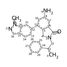 C=C(CN1Cc2c(cc(N)cc2-c2ccc3cnn(C)c3c2)C1=O)c1ccccc1